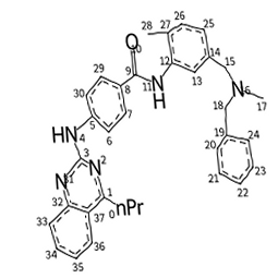 CCCc1nc(Nc2ccc(C(=O)Nc3cc(CN(C)Cc4ccccc4)ccc3C)cc2)nc2ccccc12